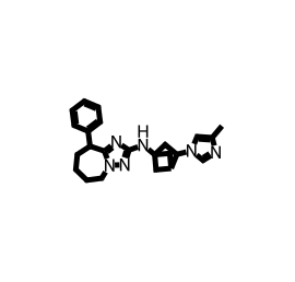 Cc1cn(C2CC3(Nc4nc5n(n4)CCCCC5c4ccccc4)CC2C3)cn1